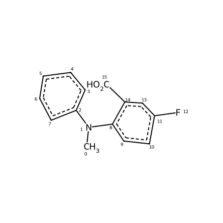 CN(c1ccccc1)c1ccc(F)cc1C(=O)O